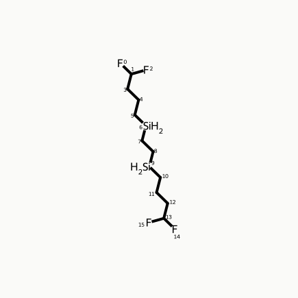 FC(F)CCC[SiH2]CC[SiH2]CCCC(F)F